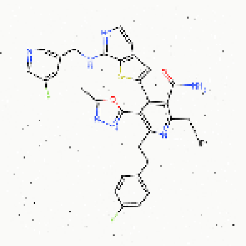 Cc1nnc(-c2c(CCc3ccc(F)cc3)nc(CC(C)C)c(C(N)=O)c2-c2cc3ccnc(NCc4cncc(F)c4)c3s2)o1